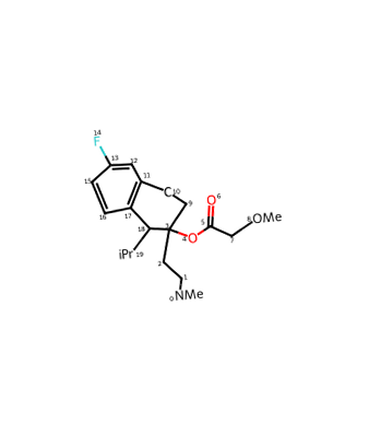 CNCCC1(OC(=O)COC)CCc2cc(F)ccc2C1C(C)C